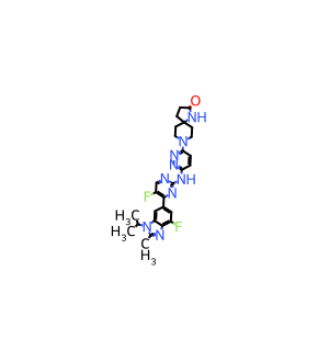 Cc1nc2c(F)cc(-c3nc(Nc4ccc(N5CCC6(CCC(=O)N6)CC5)nn4)ncc3F)cc2n1C(C)C